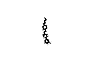 CCC/C=C/C1CCC(CCc2cnc(-c3ccc(F)c(Cl)c3)nc2)CC1